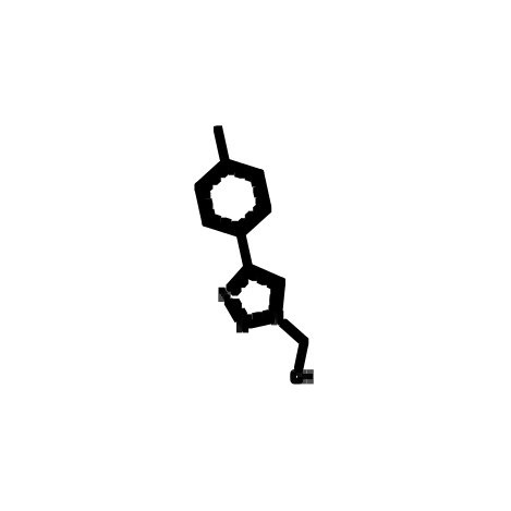 Cc1ccc(-c2cn(CO)nn2)cc1